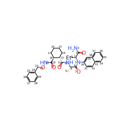 CC[C@@H](C(N)=O)N(C(=O)[C@H](C)NC(=O)[C@H]1CCCC[C@@H]1C(=O)NOCc1ccccc1)c1ccc2ccccc2c1